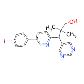 CC(C)(CO)C(c1cncnc1)c1ccc(-c2ccc(I)cc2)cn1